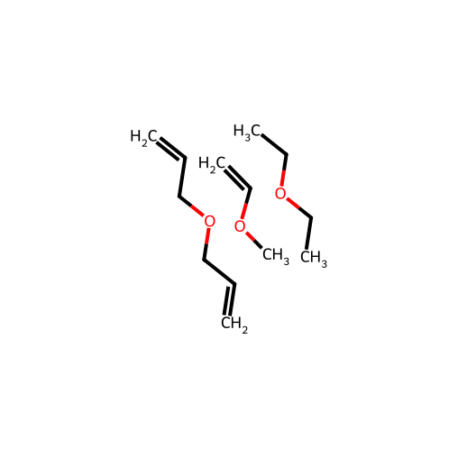 C=CCOCC=C.C=COC.CCOCC